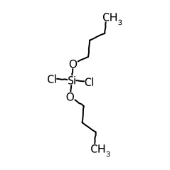 CCCCO[Si](Cl)(Cl)OCCCC